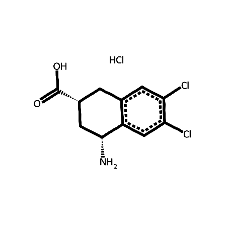 Cl.N[C@@H]1C[C@H](C(=O)O)Cc2cc(Cl)c(Cl)cc21